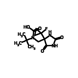 CC(C)(C)N(CC1(C2(F)CC2)NC(=O)NC1=O)C(=O)O